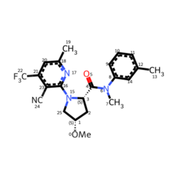 CO[C@H]1C[C@@H](C(=O)N(C)c2cccc(C)c2)N(c2nc(C)cc(C(F)(F)F)c2C#N)C1